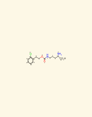 NC(CCCNC(=O)OCCc1ccccc1Cl)C(=O)O